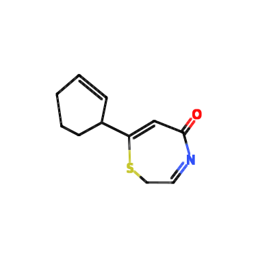 O=C1C=C(C2C=CCCC2)SCC=N1